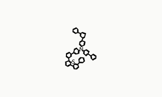 c1ccc(-c2ccc(N(c3ccc(-c4cccc(-c5ccccc5)c4)cc3)c3ccc(-c4cccc(-c5cccc6c5sc5c(-c7ccccc7)cccc56)c4)cc3)cc2)cc1